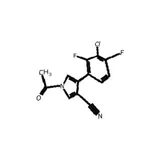 CC(=O)n1cc(C#N)c(-c2ccc(F)c(Cl)c2F)c1